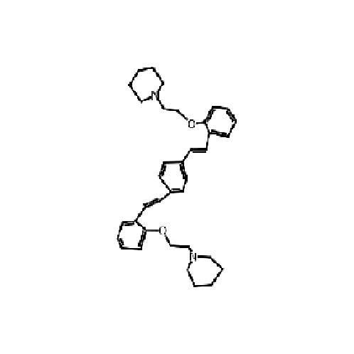 C(=C\c1ccccc1OCCN1CCCCC1)/c1ccc(/C=C/c2ccccc2OCCN2CCCCC2)cc1